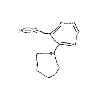 C#Cc1ccccc1N1CCCC1